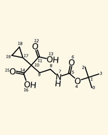 CC(C)(C)OC(=O)NCCC(C(=O)O)(C(=O)O)C1CC1